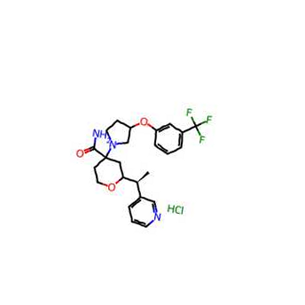 C[C@@H](c1cccnc1)C1CC(C(N)=O)(N2CCC(Oc3cccc(C(F)(F)F)c3)C2)CCO1.Cl